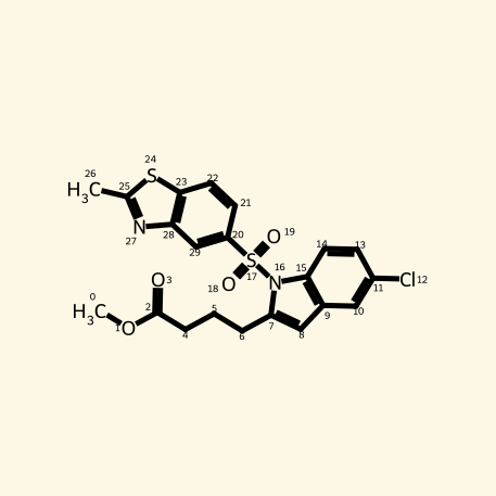 COC(=O)CCCc1cc2cc(Cl)ccc2n1S(=O)(=O)c1ccc2sc(C)nc2c1